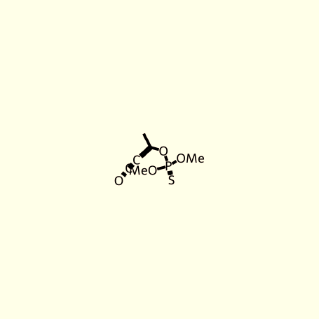 COP(=S)(OC)OC(C)=C=C=O